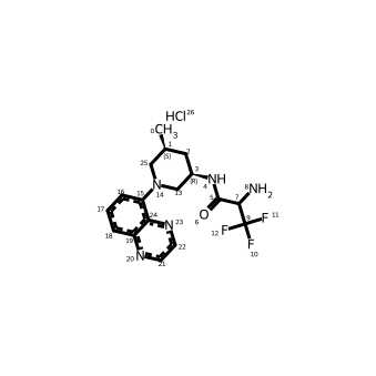 C[C@H]1C[C@@H](NC(=O)C(N)C(F)(F)F)CN(c2cccc3nccnc23)C1.Cl